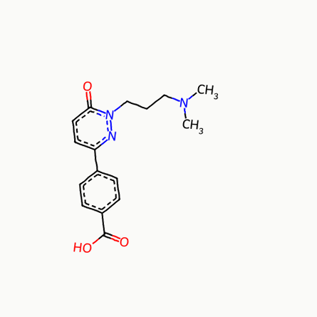 CN(C)CCCn1nc(-c2ccc(C(=O)O)cc2)ccc1=O